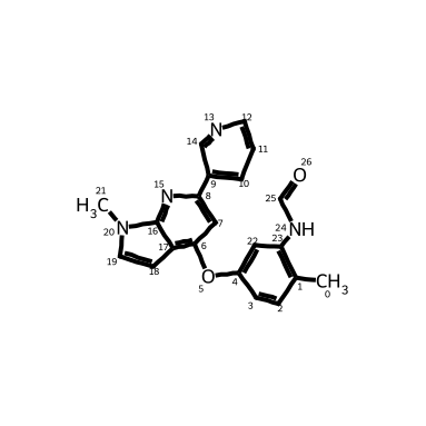 Cc1ccc(Oc2cc(-c3cccnc3)nc3c2ccn3C)cc1NC=O